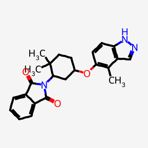 Cc1c(OC2CCC(C)(C)C(N3C(=O)c4ccccc4C3=O)C2)ccc2[nH]ncc12